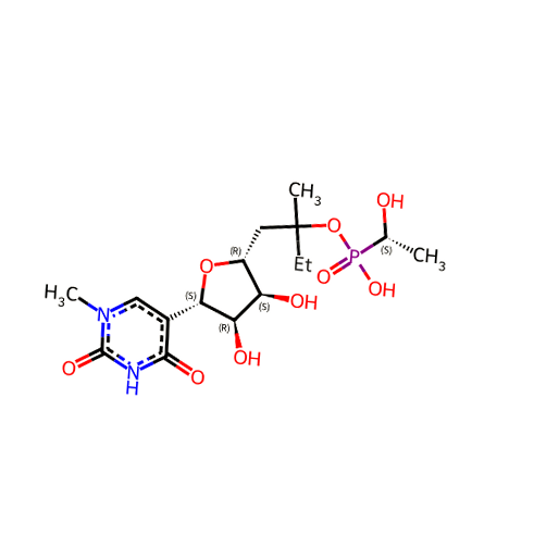 CCC(C)(C[C@H]1O[C@@H](c2cn(C)c(=O)[nH]c2=O)[C@H](O)[C@@H]1O)OP(=O)(O)[C@@H](C)O